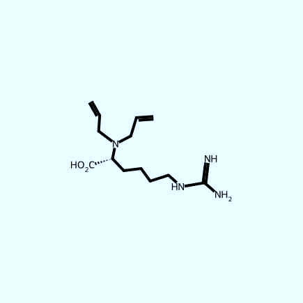 C=CCN(CC=C)[C@H](CCCCNC(=N)N)C(=O)O